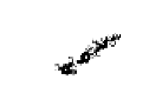 CCOC(=O)Oc1ccc(C(=O)NS(=O)(=O)c2ccc(CCNC(=O)c3cc(Cl)ccc3OC)cc2)cn1